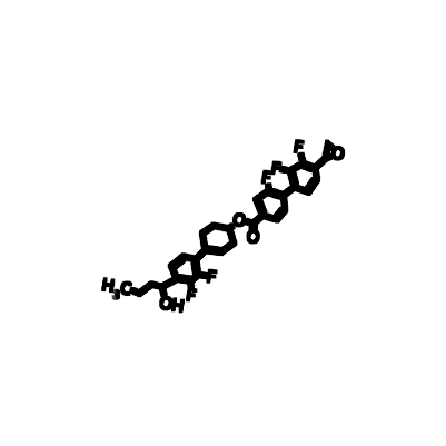 CCCC(O)c1ccc(C2=CCC(OC(=O)c3ccc(-c4ccc(C5CO5)c(F)c4F)c(F)c3)CC2)c(F)c1F